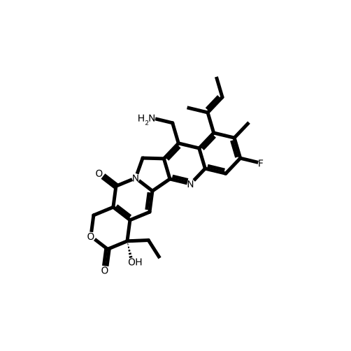 C/C=C(\C)c1c(C)c(F)cc2nc3c(c(CN)c12)Cn1c-3cc2c(c1=O)COC(=O)[C@]2(O)CC